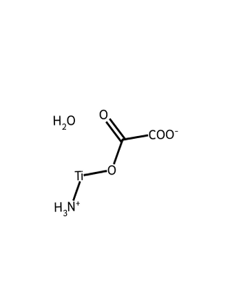 O.[NH3+][Ti][O]C(=O)C(=O)[O-]